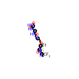 CCc1cc(N2C(=S)N(c3cnc(C)c(C(F)(F)F)c3)C(=O)C2(C)C)ccc1OCCC1CCN(CC(=O)Nc2cccc(NC3CCC(=O)NC3=O)c2)CC1